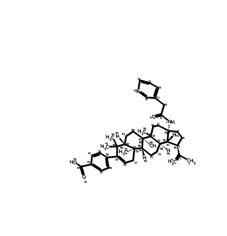 C=C(C)[C@@H]1CC[C@]2(NC(=O)Cc3cccnc3)CC[C@]3(C)[C@H](CC[C@@H]4[C@@]5(C)CC=C(c6ccc(C(=O)O)cc6)C(C)(C)[C@@H]5CC[C@]43C)[C@@H]12